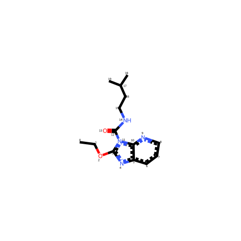 CCOc1nc2cccnc2n1C(=O)NCCC(C)C